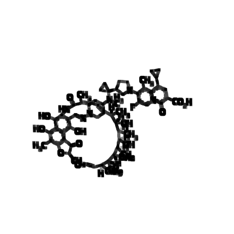 CO[C@H]1/C=C/O[C@@]2(C)Oc3c(C)c(O)c4c(O)c(c(/C=N/N5CCC(N(C)C6([C@H]7CCN(c8c(F)cn9c(=O)c(C(=O)O)cc(C%10CC%10)c9c8C)C7)CC6)CC5)c(O)c4c3C2=O)NC(=O)/C(C)=C\C=C\[C@H](C)[C@H](O)[C@@H](C)[C@@H](O)[C@@H](C)[C@H](OC(C)=O)[C@@H]1C